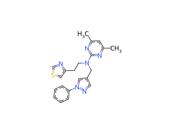 Cc1cc(C)nc(N(CCc2cs[c]n2)Cc2cnn(-c3ccccc3)c2)n1